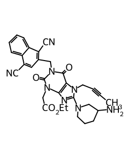 CC#CCn1c(N2CCCC(N)C2)nc2c1c(=O)n(Cc1cc(C#N)c3ccccc3c1C#N)c(=O)n2CC(=O)OCC